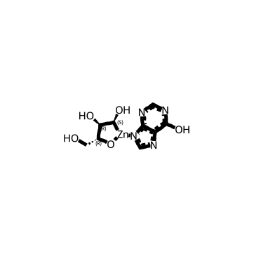 OC[C@H]1[O][Zn]([n]2cnc3c(O)ncnc32)[C@H](O)[C@@H]1O